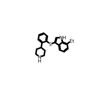 CCc1cccc2c(Sc3ccccc3C3CCNCC3)c[nH]c12